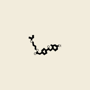 C=CC(=C)OCCCCOC(=O)Cc1ccc(C(=O)Cc2ccc(CC)cc2C)cc1